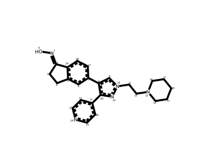 ON=C1CCc2cc(-c3cn(CCN4CCCCC4)nc3-c3ccncc3)ccc21